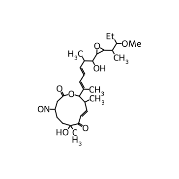 CCC(OC)C(C)C1OC1C(O)C(C)/C=C/C=C(\C)C1OC(=O)CC(N=O)CCC(C)(O)C(=O)/C=C/C1C